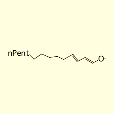 CCCCCCCCCC/C=C/C=C/[O]